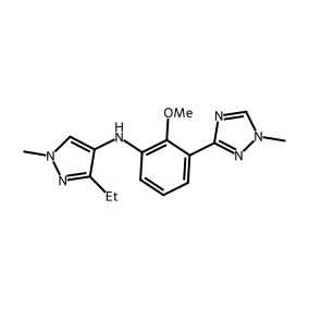 CCc1nn(C)cc1Nc1cccc(-c2ncn(C)n2)c1OC